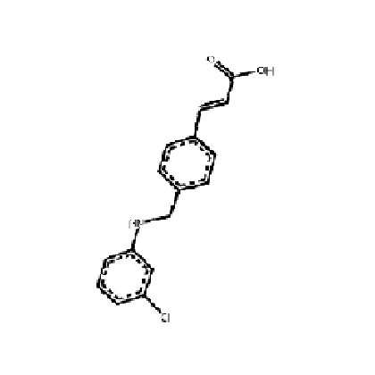 O=C(O)/C=C/c1ccc(CNc2cccc(Cl)c2)cc1